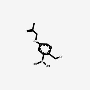 C=C(C)CNc1ccc(CO)c(B(O)O)c1